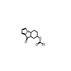 CCC(=O)OC1CCC2C(C1)C(=O)c1cccn12